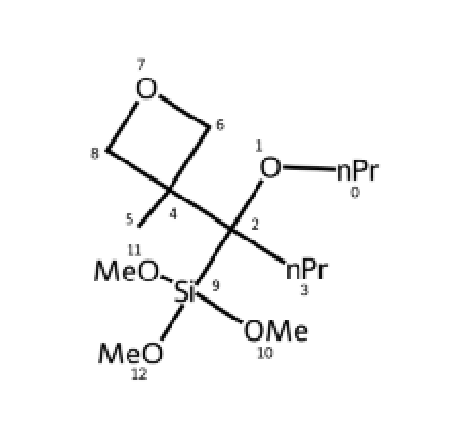 CCCOC(CCC)(C1(C)COC1)[Si](OC)(OC)OC